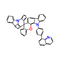 c1ccc2c(c1)Oc1c(ccc3c4ccccc4n(-c4ccc(-c5cccc6cccnc56)cc4)c13)C21c2ccccc2-n2c3ccccc3c3cccc1c32